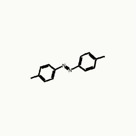 Cc1ccc(N=Nc2ccc(C)cc2)cc1